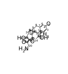 C[C@]12C=CC(=O)C=C1CC[C@@H]1C2[C@@H](O)C[C@]23O[C@]2(C(=O)CN)[C@H](O)CC13